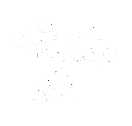 CC1(C)C2=C3c4c(cccc4C(C)(C)c4cc(N(c5cc6c7c(c5)C(C)(C)c5cccc8c5C7=C(c5ccccc5O8)C6(C)C)c5cc6c7c(c5)C(C)(C)c5cccc8c5C7=C(c5ccccc5O8)C6(C)C)cc1c43)OC1=C2C=CCC1